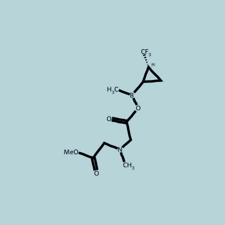 COC(=O)CN(C)CC(=O)OB(C)C1C[C@H]1C(F)(F)F